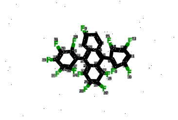 Fc1ccc2c(-c3c(F)c(F)cc(F)c3F)c3c(F)c(F)c(F)c(F)c3c(-c3c(F)c(F)c(F)c(F)c3F)c2c1